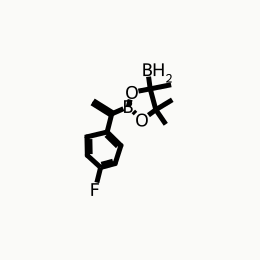 BC1(C)OB(C(=C)c2ccc(F)cc2)OC1(C)C